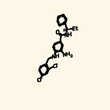 CC[C@@H](NC(=O)c1ccc(NCc2ccc(Cl)cc2Cl)c(N)c1)c1ccccc1